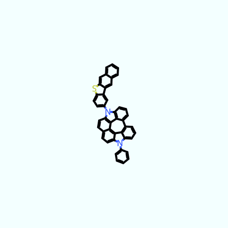 c1ccc(-n2c3cccc4c3c3c5c(ccc32)ccc2c5c3c-4cccc3n2-c2ccc3sc4cc5ccccc5cc4c3c2)cc1